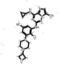 N#Cc1cc(Nc2nc(NC3CC3)c3ncc(C#N)n3n2)c(Cl)c(N2CCN(C3COC3)CC2)c1